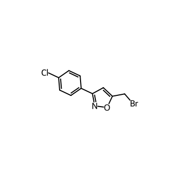 Clc1ccc(-c2cc(CBr)on2)cc1